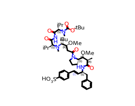 CC[C@H](C)[C@@H]([C@@H](CC(=O)N1CCC[C@H]1[C@H](OC)[C@@H](C)C(=O)N[C@H](/C=C/c1ccc(S(=O)(=O)O)cc1)Cc1ccccc1)OC)N(C)[C@H](C(=O)NC(=O)[C@H](C(C)C)N(C)C(=O)OC(C)(C)C)C(C)C